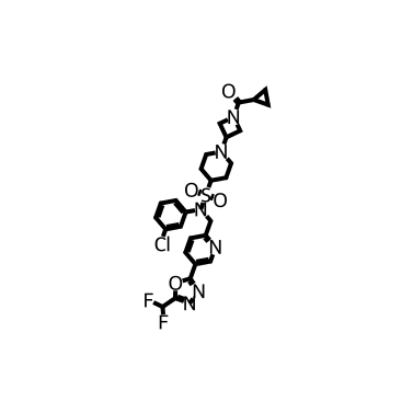 O=C(C1CC1)N1CC(N2CCC(S(=O)(=O)N(Cc3ccc(-c4nnc(C(F)F)o4)cn3)c3cccc(Cl)c3)CC2)C1